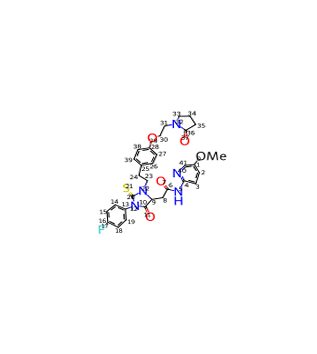 COc1ccc(NC(=O)CC2C(=O)N(c3ccc(F)cc3)C(=S)N2CCc2ccc(OCCN3CCCC3=O)cc2)nc1